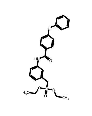 CCOP(=O)(Cc1cccc(NC(=O)c2ccc(Oc3ccccc3)cc2)c1)OCC